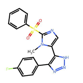 Cn1c(-c2[nH]nnc2-c2ccc(F)cc2)cnc1S(=O)(=O)c1ccccc1